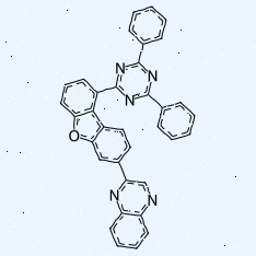 c1ccc(-c2nc(-c3ccccc3)nc(-c3cccc4oc5cc(-c6cnc7ccccc7n6)ccc5c34)n2)cc1